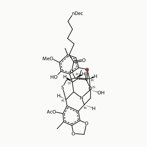 CCCCCCCCCCCCCCCC(=O)O[C@H]1CS[C@@H]2c3c(OC(C)=O)c(C)c4c(c3[C@H](COC1=O)N1C2[C@@H]2c3c(cc(C)c(OC)c3O)C[C@H]([C@@H]1O)N2C)OCO4